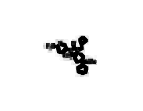 CN[C@]1(c2ccccc2)CC[C@@]2(CC1)CN(c1cnc(C(F)(F)F)cc1C)C(=O)N2CC1CCC1